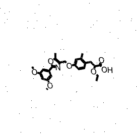 CCOC(Cc1ccc(OCc2nc(-c3cc(OC)cc(OC)c3)oc2C)cc1C)C(=O)O